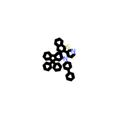 c1ccc(-c2ccc(N(c3ccc4c(c3)C(c3ccccc3)(c3ccccc3)c3ccccc3-4)c3ccnc4sc5c6ccccc6ccc5c34)cc2)cc1